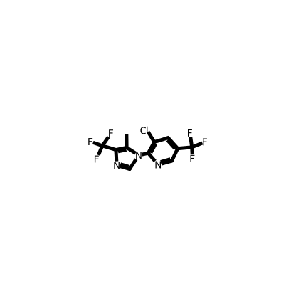 Cc1c(C(F)(F)F)ncn1-c1ncc(C(F)(F)F)cc1Cl